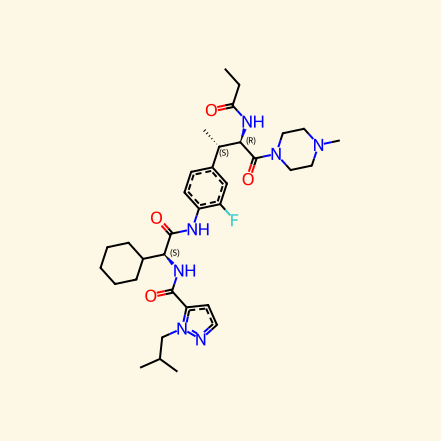 CCC(=O)N[C@@H](C(=O)N1CCN(C)CC1)[C@@H](C)c1ccc(NC(=O)[C@@H](NC(=O)c2ccnn2CC(C)C)C2CCCCC2)c(F)c1